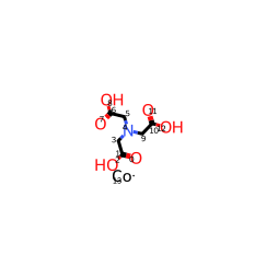 O=C(O)CN(CC(=O)O)CC(=O)O.[Co]